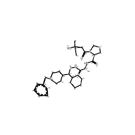 C[C@@H](NC(=O)[C@@H]1CSCN1C(=O)CC(C)(C)O)C(=O)NSC(C1CCCCC1)C1CCN(Cc2ccccc2)CC1